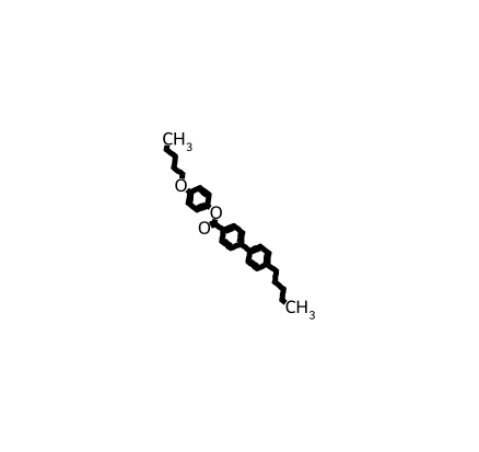 CCCCCOc1ccc(OC(=O)c2ccc(-c3ccc(CCCCC)cc3)cc2)cc1